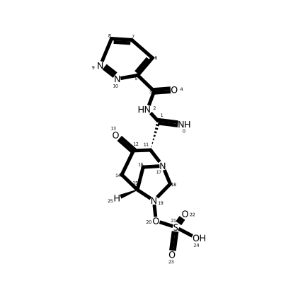 N=C(NC(=O)c1cccnn1)[C@H]1C(=O)C[C@@H]2CN1CN2OS(=O)(=O)O